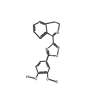 CCOc1ccc(-c2nc(C3=NCCc4ccccc43)no2)cc1OCC